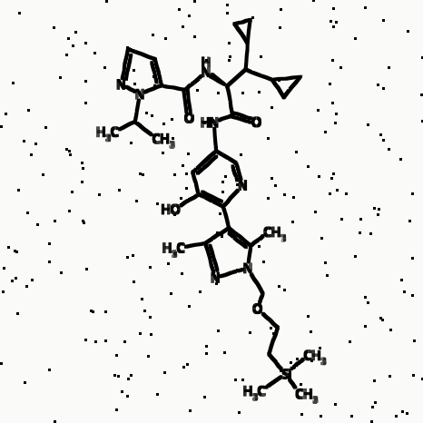 Cc1nn(COCC[Si](C)(C)C)c(C)c1-c1ncc(NC(=O)[C@@H](NC(=O)c2ccnn2C(C)C)C(C2CC2)C2CC2)cc1O